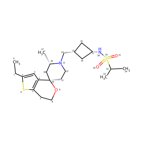 CCc1cc2c(s1)CCO[C@@]21CCN(C[C@H]2C[C@@H](NS(=O)(=O)C(C)C)C2)[C@@H](C)C1